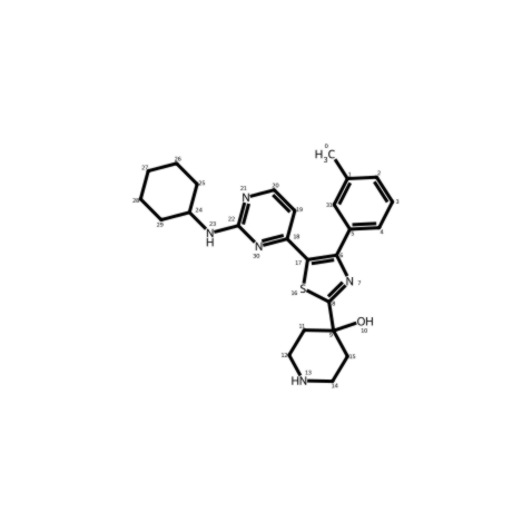 Cc1cccc(-c2nc(C3(O)CCNCC3)sc2-c2ccnc(NC3CCCCC3)n2)c1